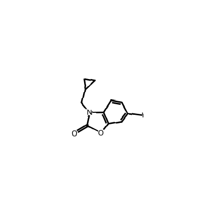 O=c1oc2cc(I)ccc2n1CC1CC1